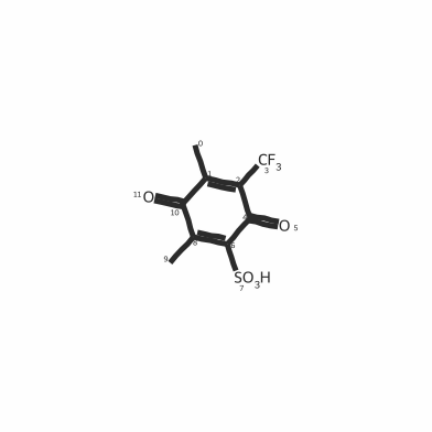 CC1=C(C(F)(F)F)C(=O)C(S(=O)(=O)O)=C(C)C1=O